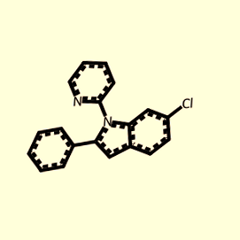 Clc1ccc2cc(-c3ccccc3)n(-c3ccccn3)c2c1